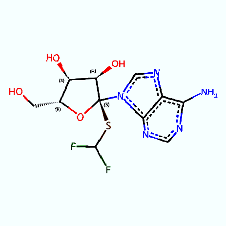 Nc1ncnc2c1ncn2[C@]1(SC(F)F)O[C@H](CO)[C@@H](O)[C@H]1O